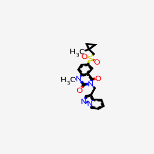 Cn1c(=O)n(Cc2cnn3ccccc23)c(=O)c2cc(S(=O)(=O)CC3(C)CC3)ccc21